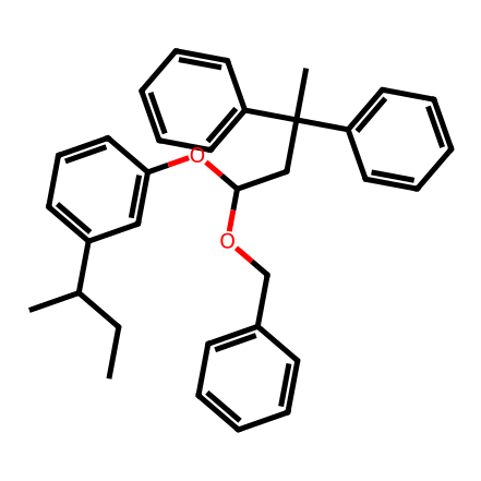 CCC(C)c1cccc(OC(CC(C)(c2ccccc2)c2ccccc2)OCc2ccccc2)c1